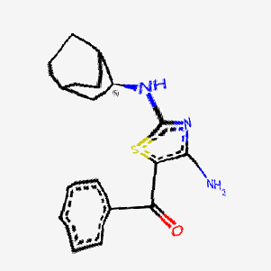 Nc1nc(N[C@H]2CC3CCC2C3)sc1C(=O)c1ccccc1